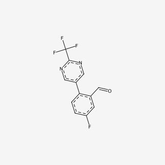 O=Cc1cc(F)ccc1-c1cnc(C(F)(F)F)nc1